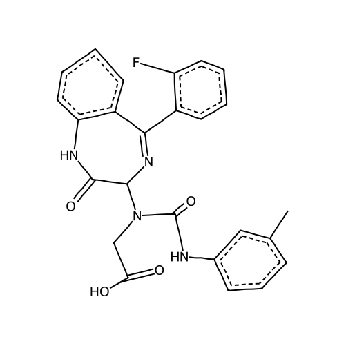 Cc1cccc(NC(=O)N(CC(=O)O)C2N=C(c3ccccc3F)c3ccccc3NC2=O)c1